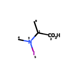 CC(C(=O)O)N(C)I